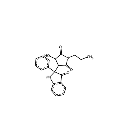 CCCN1C(=O)C(O)C(C2(c3ccccc3)Nc3ccccc3C2=O)C1=O